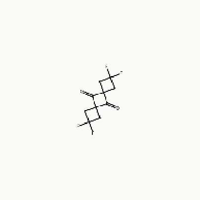 O=C1C2(CC(F)(F)C2)C(=O)C12CC(F)(F)C2